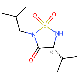 CC(C)CN1C(=O)[C@@H](C(C)C)NS1(=O)=O